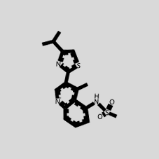 Cc1c(-c2nc(C(C)C)cs2)[c]nc2cccc(NS(C)(=O)=O)c12